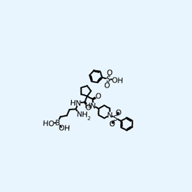 NC(CCCB(O)O)NC(=O)C1(C(=O)NC2CCN(S(=O)(=O)c3ccccc3)CC2)CCCC1.O=S(=O)(O)c1ccccc1